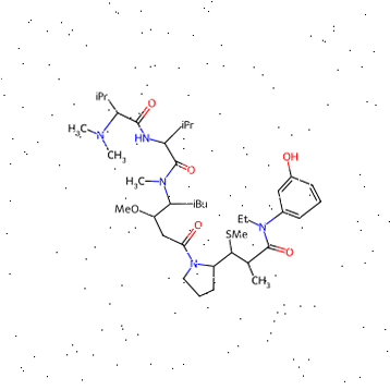 CCC(C)C(C(CC(=O)N1CCCC1C(SC)C(C)C(=O)N(CC)c1cccc(O)c1)OC)N(C)C(=O)C(NC(=O)C(C(C)C)N(C)C)C(C)C